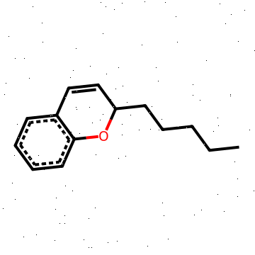 CCCCCC1C=Cc2ccccc2O1